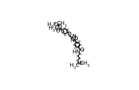 CN(C)CCCCNC(=O)c1ccc(-c2nc(COC3CCN(C(=O)OC(C)(C)C)CC3)no2)cc1